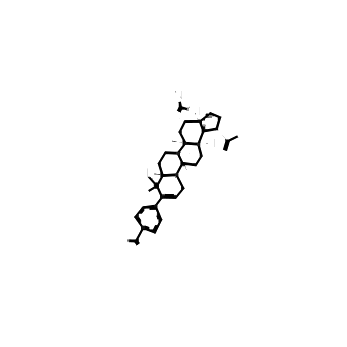 C=C(C)[C@@H]1CC[C@]2(NC(N)=O)CC[C@]3(C)[C@H](CC[C@@H]4[C@@]5(C)CC=C(c6ccc(C(=O)O)cc6)C(C)(C)[C@@H]5CC[C@]43C)[C@@H]12